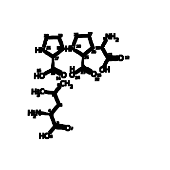 CC(C)C[C@H](N)C(=O)O.NCC(=O)O.O=C(O)[C@@H]1CCCN1.O=C(O)[C@@H]1CCCN1